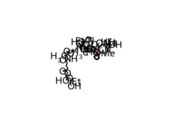 CCC(CO)OC(O)COC(=O)CCCC(=O)NC(C)C(=O)OCCCNC(=O)[C@]1(O)C2N(C)c3cc(OC)c([C@@]4(C(=O)OC)C[C@@H]5C[N@](CCc6c4[nH]c4ccccc64)C[C@](O)(CC)C5)cc3[C@@]23CCN2CC=C[C@](CC)(C23)[C@H]1O